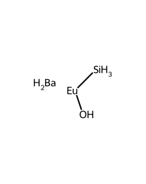 [BaH2].[OH][Eu][SiH3]